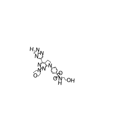 Nc1ncc(-c2nc(N3CCOCC3)nc3c2CCN3c2ccc(S(=O)(=O)NCCO)cc2)cn1